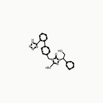 CCCCc1nn(C(CO)c2ccccc2)c(=O)n1Cc1ccc(-c2ccccc2-c2nnn[nH]2)cc1